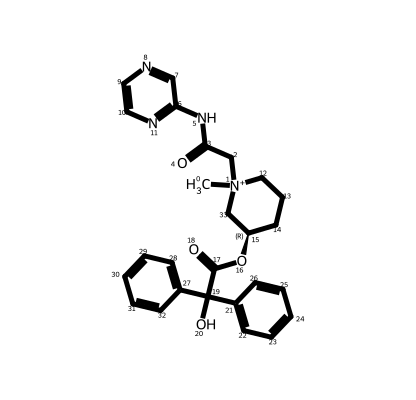 C[N+]1(CC(=O)Nc2cnccn2)CCC[C@@H](OC(=O)C(O)(c2ccccc2)c2ccccc2)C1